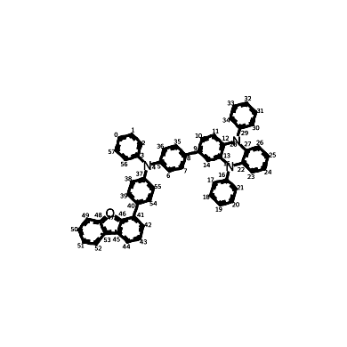 c1ccc(N(c2ccc(-c3ccc4c(c3)N(c3ccccc3)c3ccccc3N4c3ccccc3)cc2)c2ccc(-c3cccc4c3oc3ccccc34)cc2)cc1